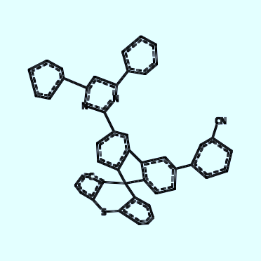 N#Cc1cccc(-c2ccc3c(c2)-c2cc(-c4nc(-c5ccccc5)cc(-c5ccccc5)n4)ccc2C32c3ccccc3Sc3ccccc32)c1